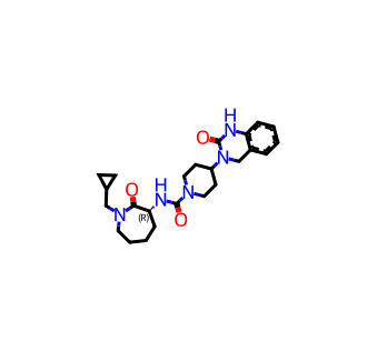 O=C(N[C@@H]1CCCCN(CC2CC2)C1=O)N1CCC(N2Cc3ccccc3NC2=O)CC1